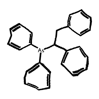 c1ccc(CC(c2ccccc2)[As](c2ccccc2)c2ccccc2)cc1